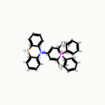 N#CC1=CC(N2c3ccccc3Sc3ccccc32)=CC(C#N)=P1(c1ccccc1)c1ccccc1